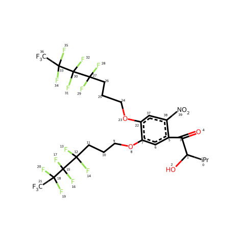 CC(C)C(O)C(=O)c1cc(OCCCC(F)(F)C(F)(F)C(F)(F)C(F)(F)F)c(OCCCC(F)(F)C(F)(F)C(F)(F)C(F)(F)F)cc1[N+](=O)[O-]